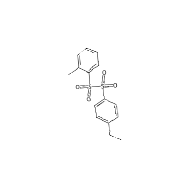 CCc1ccc(S(=O)(=O)S(=O)(=O)c2ccccc2C)cc1